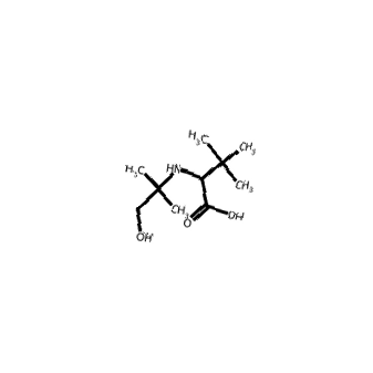 CC(C)(CO)NC(C(=O)O)C(C)(C)C